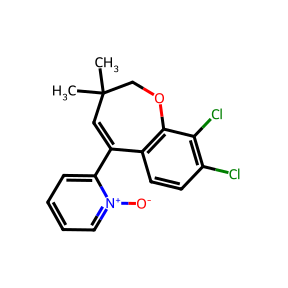 CC1(C)C=C(c2cccc[n+]2[O-])c2ccc(Cl)c(Cl)c2OC1